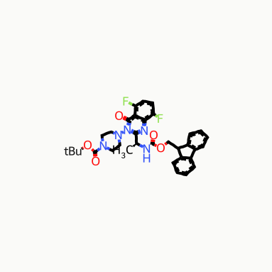 C[C@H](NC(=O)OCC1c2ccccc2-c2ccccc21)c1nc2c(F)ccc(F)c2c(=O)n1N1CCN(C(=O)OC(C)(C)C)CC1